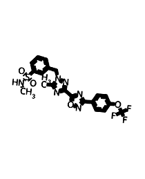 CNS(=O)(=O)c1cccc(Cn2nc(-c3nc(-c4ccc(OC(F)(F)F)cc4)no3)nc2C)c1